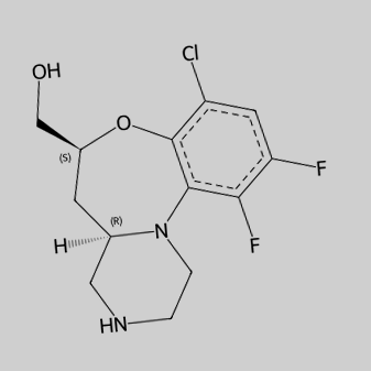 OC[C@@H]1C[C@@H]2CNCCN2c2c(F)c(F)cc(Cl)c2O1